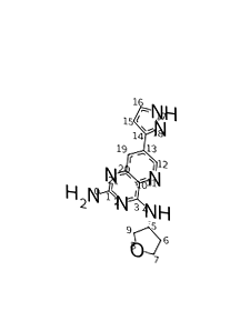 Nc1nc(N[C@@H]2CCOC2)c2ncc(-c3cc[nH]n3)cc2n1